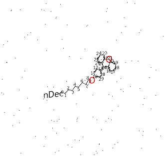 CCCCCCCCCCCCCCCCCCOc1ccc([C]2c3ccccc3Oc3ccccc32)cc1